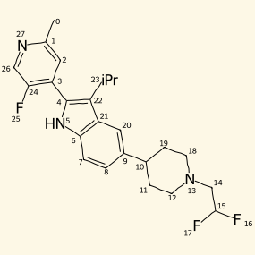 Cc1cc(-c2[nH]c3ccc(C4CCN(CC(F)F)CC4)cc3c2C(C)C)c(F)cn1